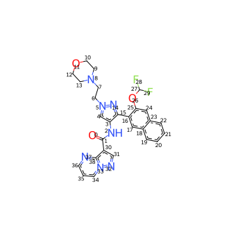 O=C(Nc1cn(CCN2CCOCC2)nc1-c1cc2ccccc2cc1OC(F)F)c1cnn2cccnc12